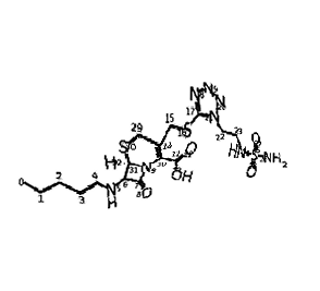 CCCCCNC1C(=O)N2C(C(=O)O)=C(CSc3nnnn3CCNS(N)(=O)=O)CS[C@H]12